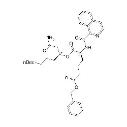 CCCCCCCCCCCCC[C@@H](CC(N)=O)OC(=O)[C@H](CCCC(=O)OCc1ccccc1)NC(=O)c1nccc2ccccc12